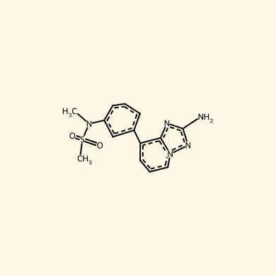 CN(c1cccc(-c2cccn3nc(N)nc23)c1)S(C)(=O)=O